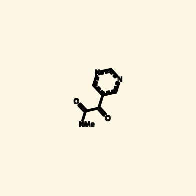 CNC(=O)C(=O)c1cncnc1